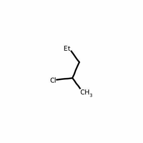 [CH2]CCC(C)Cl